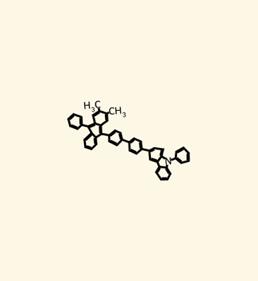 Cc1cc2c(-c3ccccc3)c3ccccc3c(-c3ccc(-c4ccc(-c5ccc6c(c5)c5ccccc5n6-c5ccccc5)cc4)cc3)c2cc1C